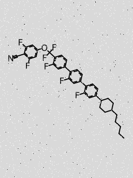 CCCCCC1CCC(c2ccc(-c3ccc(-c4ccc(C(F)(F)Oc5cc(F)c(C#N)c(F)c5)c(F)c4)c(F)c3)c(F)c2)CC1